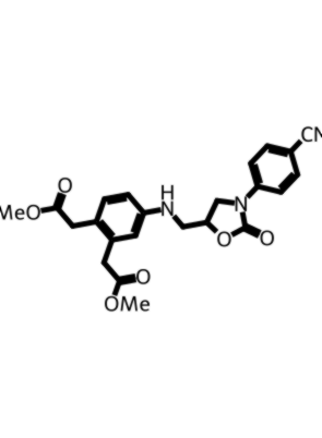 COC(=O)Cc1ccc(NCC2CN(c3ccc(C#N)cc3)C(=O)O2)cc1CC(=O)OC